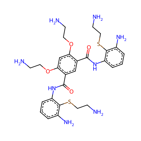 NCCOc1cc(OCCN)c(C(=O)Nc2cccc(N)c2SCCN)cc1C(=O)Nc1cccc(N)c1SCCN